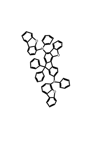 c1ccc(N(c2ccc3c(c2)C(c2ccccc2)(c2ccccc2)c2cc(N(c4ccccc4)c4cccc5c4oc4ccccc45)c4c(oc5ccccc54)c2-3)c2cccc3c2oc2ccccc23)cc1